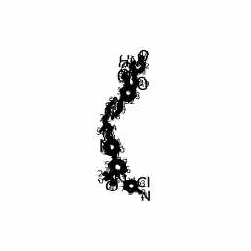 CC1(C)C(=O)N(c2ccc(C#N)c(Cl)c2)c2ccc(-c3ccc(N4CC(CN5CCN(c6ccc7c(c6)C(=O)N(C6CCC(=O)NC6=O)C7=O)CC5)C4)nc3)cc21